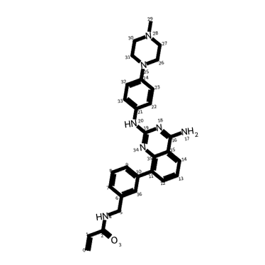 C=CC(=O)NCc1cccc(-c2cccc3c(N)nc(Nc4ccc(N5CCN(C)CC5)cc4)nc23)c1